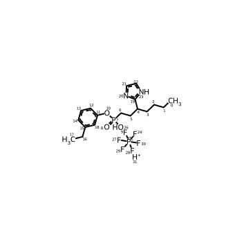 CCCCC(CCP(=O)(O)Oc1cccc(CC)c1)c1ncc[nH]1.F[P-](F)(F)(F)(F)F.[H+]